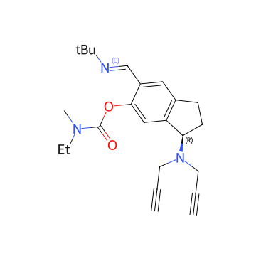 C#CCN(CC#C)[C@@H]1CCc2cc(/C=N/C(C)(C)C)c(OC(=O)N(C)CC)cc21